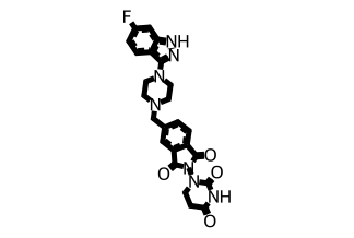 O=C1CCN(N2C(=O)c3ccc(CN4CCN(c5n[nH]c6cc(F)ccc56)CC4)cc3C2=O)C(=O)N1